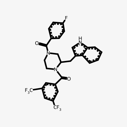 O=C(c1ccc(F)cc1)N1CCN(C(=O)c2cc(C(F)(F)F)cc(C(F)(F)F)c2)C(Cc2c[nH]c3ccccc23)C1